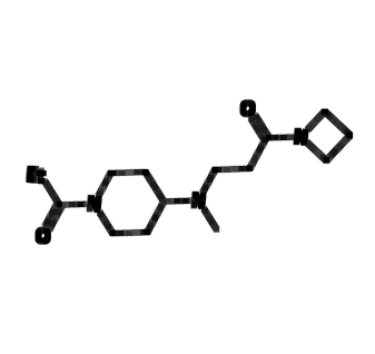 CCC(=O)N1CCC(N(C)CCC(=O)N2CCC2)CC1